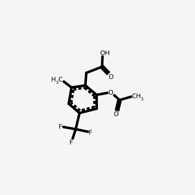 CC(=O)Oc1cc(C(F)(F)F)cc(C)c1CC(=O)O